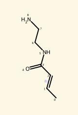 C/C=C/C(=O)NCCN